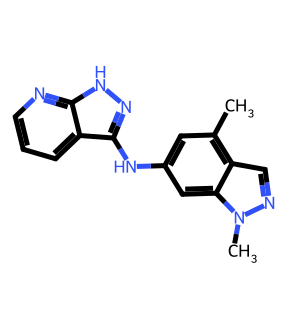 Cc1cc(Nc2n[nH]c3ncccc23)cc2c1cnn2C